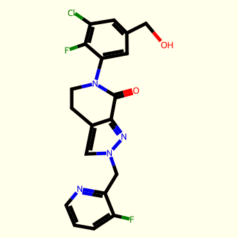 O=C1c2nn(Cc3ncccc3F)cc2CCN1c1cc(CO)cc(Cl)c1F